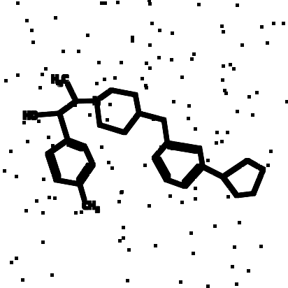 Cc1ccc(C(O)C(C)N2CCC(Cc3cccc(C4CCCC4)c3)CC2)cc1